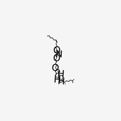 CCCCC/C=C\CCCOC[C@@H](COCCCCOC1CC[C@@]2(C)C(=CC[C@H]3[C@@H]4CC[C@H]([C@H](C)CCCC(C)C)[C@@]4(C)CC[C@@H]32)C1)N(C)C